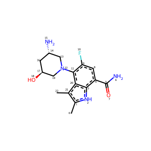 Cc1[nH]c2c(C(N)=O)cc(F)c(N3C[C@@H](N)C[C@H](O)C3)c2c1C